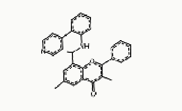 Cc1cc(C(C)Nc2ccccc2-c2ccncc2)c2oc(-c3ccccc3)c(C)c(=O)c2c1